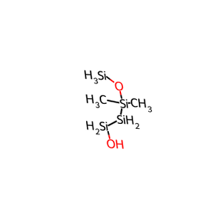 C[Si](C)(O[SiH3])[SiH2][SiH2]O